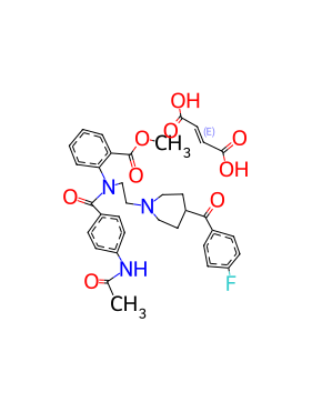 COC(=O)c1ccccc1N(CCN1CCC(C(=O)c2ccc(F)cc2)CC1)C(=O)c1ccc(NC(C)=O)cc1.O=C(O)/C=C/C(=O)O